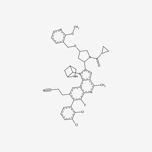 COc1ncccc1COC1CC(c2cc3c(C)nc4c(F)c(-c5cccc(Cl)c5Cl)c(CCC#N)cc4c3n2C2C3CNC2C3)N(C(=O)C2CC2)C1